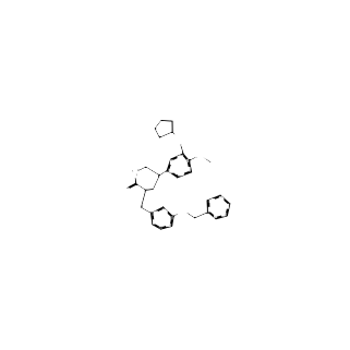 COc1ccc(C2CNC(=O)C(Cc3cccc(OCc4ccccc4)c3)C2)cc1OC1CCCC1